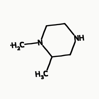 [CH2]N1CCNCC1C